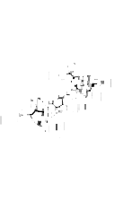 COc1nc(N)nc2c1ncn2[C@@H]1O[C@H](COP(=O)(NC(C)C(=O)O)NC(C)C(=O)O)[C@@H](O)[C@@]1(C)O